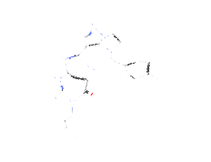 CCCn1c(Cl)nc2nc(-c3cnn4ccn(Cc5ccc(F)cc5)c34)[nH]c2c1=O